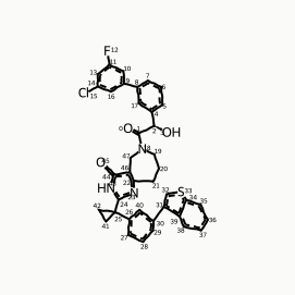 O=C([C@H](O)c1cccc(-c2cc(F)cc(Cl)c2)c1)N1CCCc2nc(C3(c4cccc(-c5csc6ccccc56)c4)CC3)[nH]c(=O)c2C1